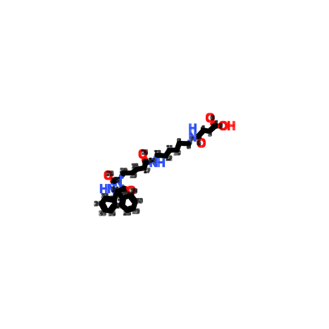 O=C(O)CCC(=O)NCCCCCCNC(=O)CCCCN1C(=O)NC(c2ccccc2)(c2ccccc2)C1=O